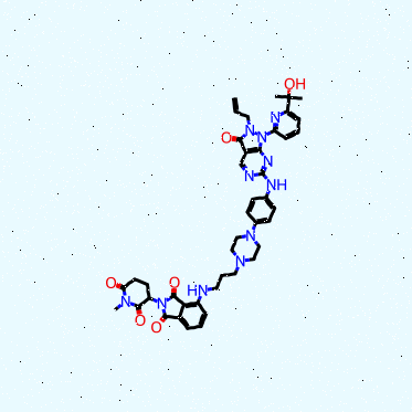 C=CCn1c(=O)c2cnc(Nc3ccc(N4CCN(CCCNc5cccc6c5C(=O)N(C5CCC(=O)N(C)C5=O)C6=O)CC4)cc3)nc2n1-c1cccc(C(C)(C)O)n1